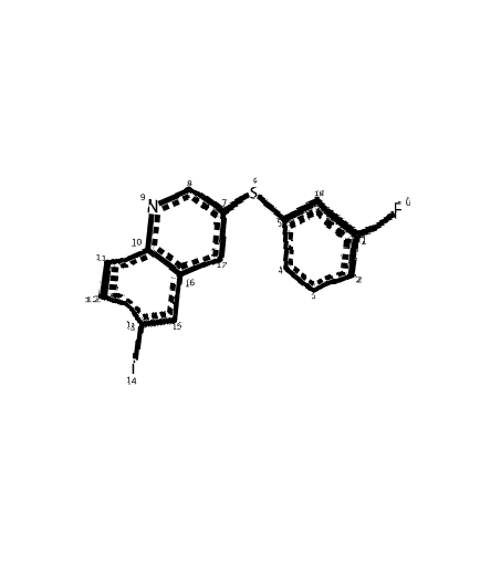 Fc1cccc(Sc2cnc3ccc(I)cc3c2)c1